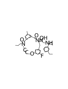 CCCN1CCCCOc2cc(F)cc(c2)CC(C(O)CNC2(c3cccc(CC)c3)CC2)NC(=O)c2cc(C)cc(c2)C1=O